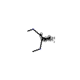 CCCCC/C=C\CCCCCCCC(=O)OC[C@H](COP(=O)(O)OC[C@H](N)C(=O)O)OC(=O)CCCCCCC/C=C\CCCCCCC